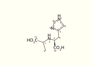 CC(N[C@@H](Cc1c[nH]cn1)C(=O)O)C(=O)O